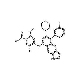 COc1cc(Oc2nc(C3CCOCC3)c(-c3ccnc(C)c3)c3cc4cn[nH]c4cc23)c(F)cc1C(=O)O